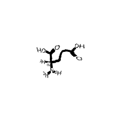 [2H]N([2H])[C@@]([2H])(CCC(=O)O)C(=O)O